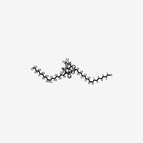 CCCCCCCC/C=C\CCCCCCCC(=O)OC(C[N+](C)(C)C)C(C[N+](C)(C)C)OC(=O)CCCCCCC/C=C\CCCCCCCC